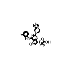 O=C(O)C(F)(F)F.[O-][S+]1CCc2nc(N3CCn4cnnc4C3)nc(Nc3cccc(F)c3)c21